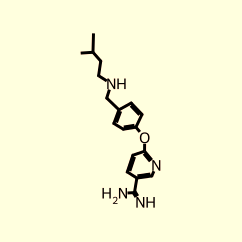 CC(C)CCNCc1ccc(Oc2ccc(C(=N)N)cn2)cc1